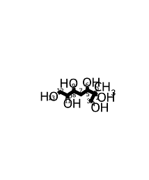 CC(O)(CO)C(O)CC(O)C(O)CO